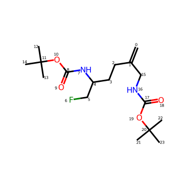 C=C(CCC(CF)NC(=O)OC(C)(C)C)CNC(=O)OC(C)(C)C